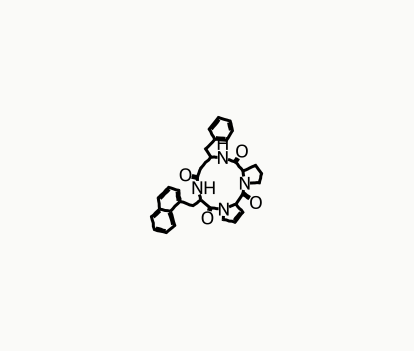 O=C1CC(Cc2ccccc2)NC(=O)C2CCCN2C(=O)C2C=CCN2C(=O)C(Cc2cccc3ccccc23)N1